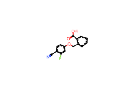 N#Cc1ccc(OCc2ccccc2C(=O)O)cc1F